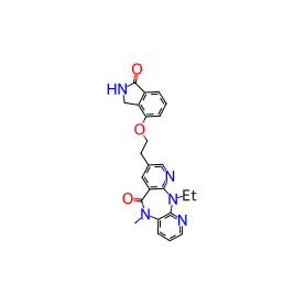 CCN1c2ncc(CCOc3cccc4c3CNC4=O)cc2C(=O)N(C)c2cccnc21